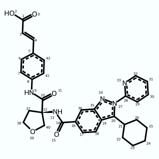 O=C(O)/C=C/c1ccc(NC(=O)[C@@]2(NC(=O)c3ccc4c(C5CCCCC5)n(-c5ccccn5)nc4c3)CCOC2)cc1